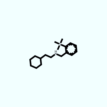 CS(C)(C)c1ccccc1CNCCC1CCCCC1